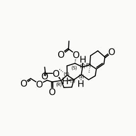 CC(=O)O[C@H]1C[C@@]2(C)[C@@H](CC[C@]2(OC(C)=O)C(=O)COC=O)[C@@H]2CCC3=CC(=O)CC[C@]3(C)[C@H]21